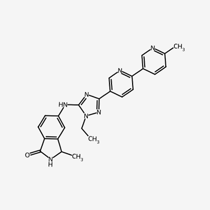 CCn1nc(-c2ccc(-c3ccc(C)nc3)nc2)nc1Nc1ccc2c(c1)C(C)NC2=O